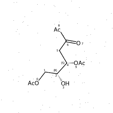 CC(=O)OC[C@@H](O)[C@H](CC(=O)C(C)=O)OC(C)=O